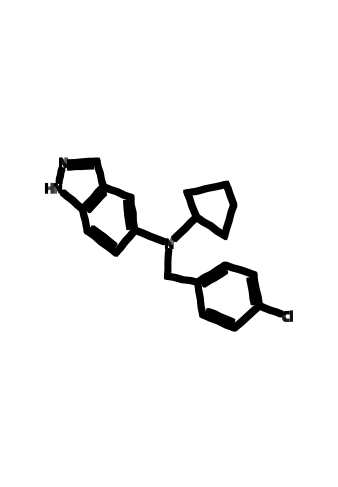 Clc1ccc(CN(c2ccc3[nH]ncc3c2)C2CCCC2)cc1